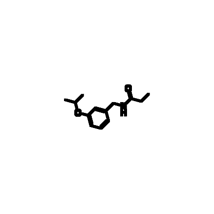 CCC(=O)NCc1cccc(OC(C)C)c1